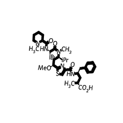 CC[C@H](C)[C@H](NC(=O)C1CCCCN1C)C(=O)N(C)[C@H](C[C@@H](OC)c1nc(C(=O)N[C@@H](Cc2ccccc2)C[C@H](C)C(=O)O)cs1)C(C)C